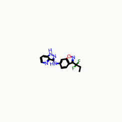 CCC(F)(F)c1noc2cc(Nc3n[nH]c4cccnc34)ccc12